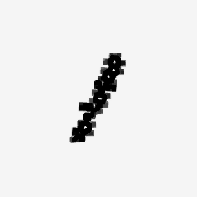 Cc1nc2cc(OC[C@H](O)CN3CCN(C(=O)Nc4ccc5c(c4)Cc4ccccc4-5)CC3)ccc2s1